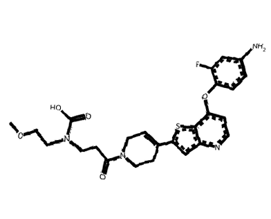 COCCN(CCC(=O)N1CC=C(c2cc3nccc(Oc4ccc(N)cc4F)c3s2)CC1)C(=O)O